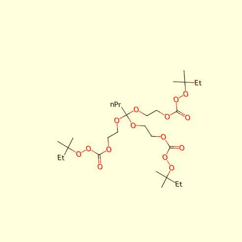 CCCC(OCCOC(=O)OOC(C)(C)CC)(OCCOC(=O)OOC(C)(C)CC)OCCOC(=O)OOC(C)(C)CC